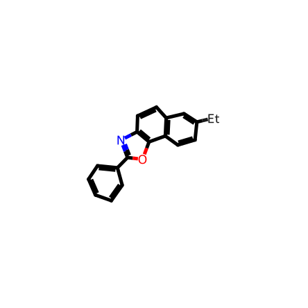 CCc1ccc2c(ccc3nc(-c4ccccc4)oc32)c1